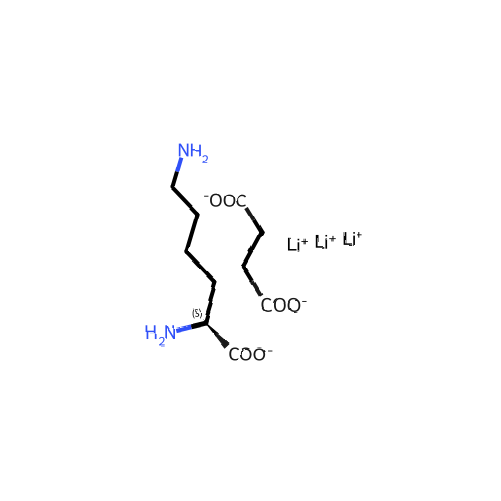 NCCCC[C@H](N)C(=O)[O-].O=C([O-])CCC(=O)[O-].[Li+].[Li+].[Li+]